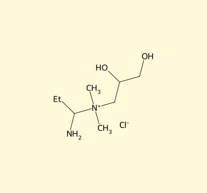 CCC(N)[N+](C)(C)CC(O)CO.[Cl-]